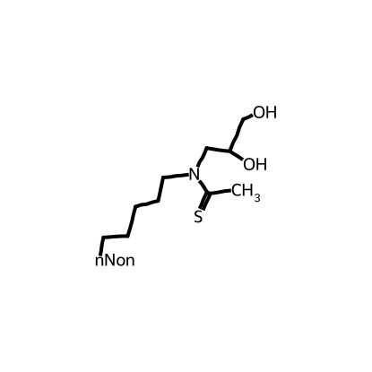 CCCCCCCCCCCCCCN(CC(O)CO)C(C)=S